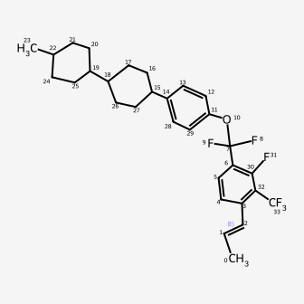 C/C=C/c1ccc(C(F)(F)Oc2ccc(C3CCC(C4CCC(C)CC4)CC3)cc2)c(F)c1C(F)(F)F